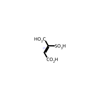 O=C(O)/C=C(/C(=O)O)S(=O)(=O)O